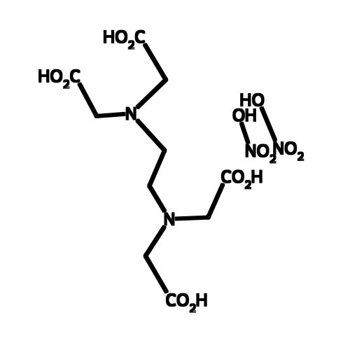 O=C(O)CN(CCN(CC(=O)O)CC(=O)O)CC(=O)O.O=[N+]([O-])O.O=[N+]([O-])O